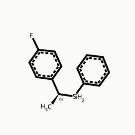 C[C@H]([SiH2]c1ccccc1)c1ccc(F)cc1